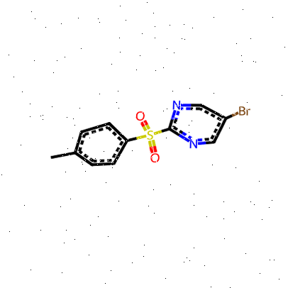 Cc1ccc(S(=O)(=O)c2ncc(Br)cn2)cc1